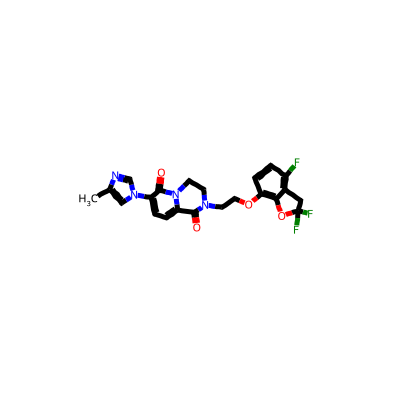 Cc1cn(-c2ccc3n(c2=O)CCN(CCOc2ccc(F)c4c2OC(F)(F)C4)C3=O)cn1